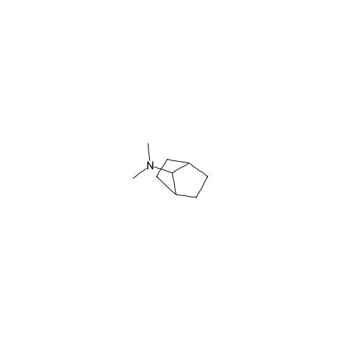 CN(C)C1C2CCC1CC2